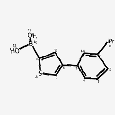 CC(C)c1cccc(-c2csc(B(O)O)c2)c1